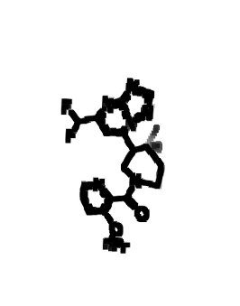 CCCOc1cccnc1C(=O)N1CC[C@@H](C)C(c2cc(C(F)F)nc3ncnn23)C1